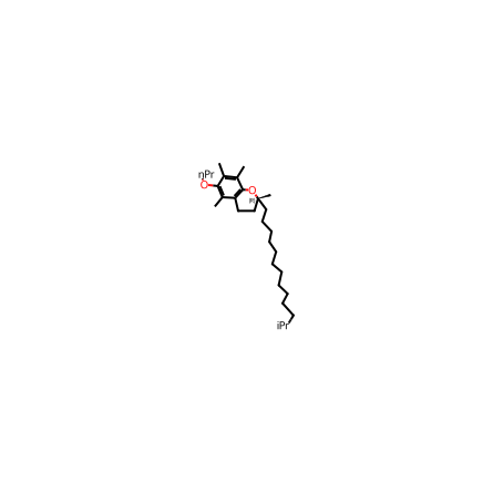 CCCOc1c(C)c(C)c2c(c1C)CC[C@@](C)(CCCCCCCCCCCC(C)C)O2